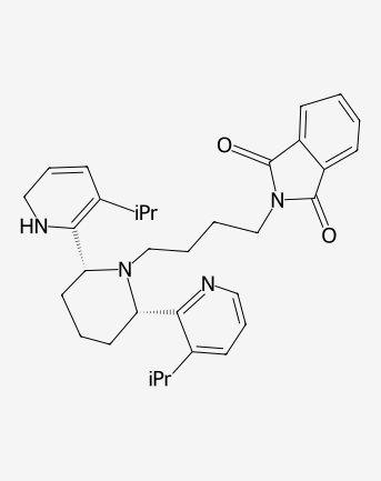 CC(C)C1=C([C@H]2CCC[C@@H](c3ncccc3C(C)C)N2CCCCN2C(=O)c3ccccc3C2=O)NCC=C1